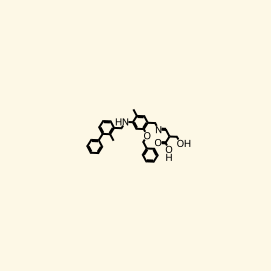 Cc1cc(C/N=C/C(CO)C(=O)O)c(OCc2ccccc2)cc1NCc1cccc(-c2ccccc2)c1C